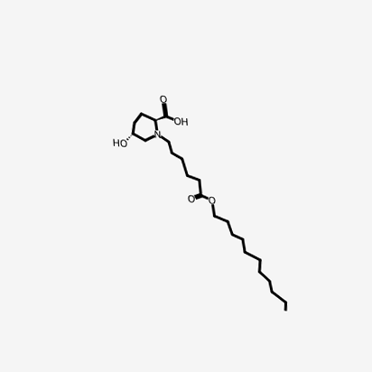 CCCCCCCCCCCOC(=O)CCCCCN1C[C@H](O)CC[C@H]1C(=O)O